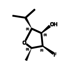 CC(C)[C@H]1O[C@@H](C)[C@H](F)[C@@H]1O